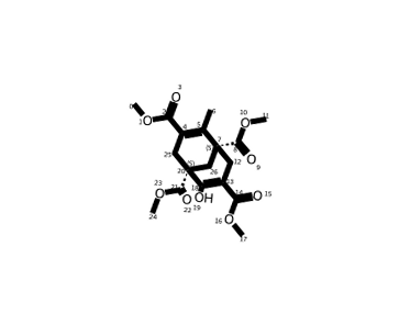 COC(=O)C1=C(C)[C@@]2(C(=O)OC)CC(C(=O)OC)=C(O)[C@@](C(=O)OC)(C1)C2